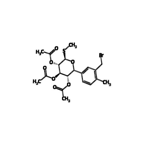 CS[C@H]1OC(c2ccc(C)c(CBr)c2)[C@H](OC(C)=O)[C@@H](OC(C)=O)[C@@H]1OC(C)=O